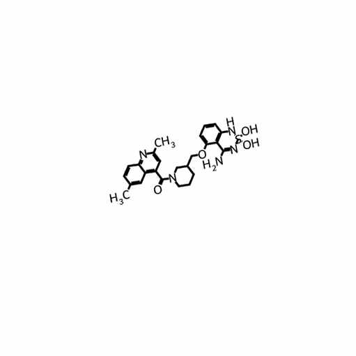 Cc1ccc2nc(C)cc(C(=O)N3CCCC(COc4cccc5c4C(N)=NS(O)(O)N5)C3)c2c1